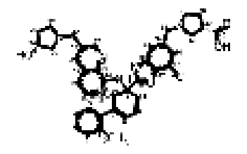 Cc1ccccc1C1=CC=CC(Nc2nccc3cc(CN4CC[C@@H](O)C4)cnc23)(c2nc3cc(CN4CC[C@H](C(=O)O)C4)cc(Cl)c3o2)C1C